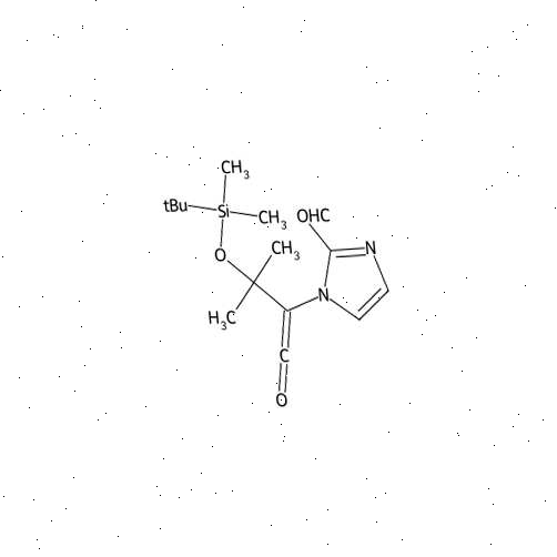 CC(C)(O[Si](C)(C)C(C)(C)C)C(=C=O)n1ccnc1C=O